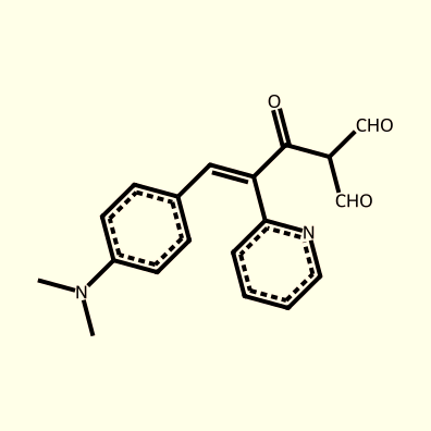 CN(C)c1ccc(C=C(C(=O)C(C=O)C=O)c2ccccn2)cc1